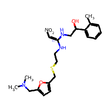 Cc1ccccc1C(O)CN/C(=C\[N+](=O)[O-])NCCSCc1ccc(CN(C)C)o1